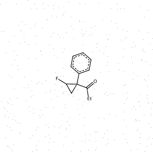 CCC(=O)C1(c2ccccc2)CC1F